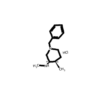 CN[C@H]1CN(Cc2ccccc2)CC[C@H]1C.Cl